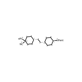 CCCCC[C@H]1CC[C@H](CC[C@H]2CC[C@@](C#N)(CCC)CC2)CC1